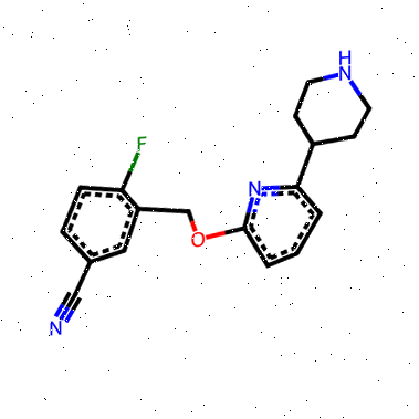 N#Cc1ccc(F)c(COc2cccc(C3CCNCC3)n2)c1